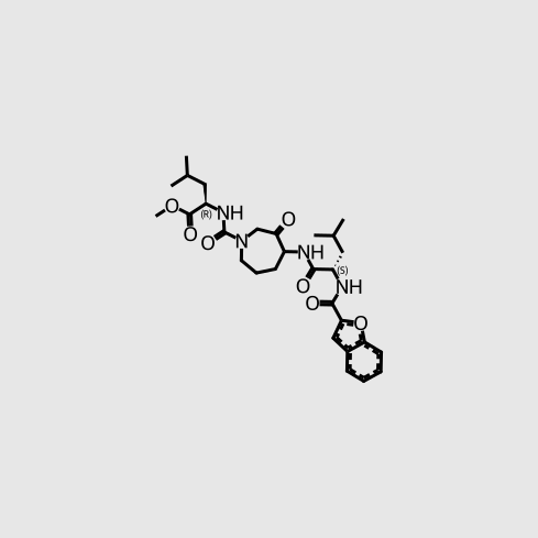 COC(=O)[C@@H](CC(C)C)NC(=O)N1CCCC(NC(=O)[C@H](CC(C)C)NC(=O)c2cc3ccccc3o2)C(=O)C1